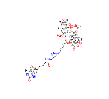 CC(=O)O[C@H]1C2C([C@@H]3[C@@H](OC(=O)CCCCn4cc(CNC(=O)CCCC[C@@H]5SC[C@@H]6NC(=O)N[C@@H]65)nn4)[C@@H]4[C@H]([C@H](C)[C@H]5O[C@]56OC(=O)[C@@](C)(O)[C@]46C)[C@@]3(C)[C@H]1OC(C)=O)[C@@H](O)C[C@H]1C[C@@H]3O[C@@H]3[C@H](O)[C@]21C